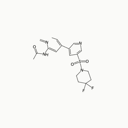 C=N/C(=C\C(=C/C)c1cncc(S(=O)(=O)N2CCC(F)(F)CC2)c1)NC(C)=O